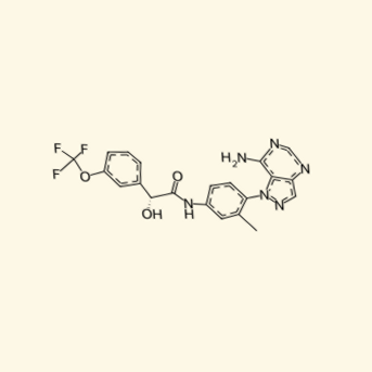 Cc1cc(NC(=O)[C@H](O)c2cccc(OC(F)(F)F)c2)ccc1-n1ncc2ncnc(N)c21